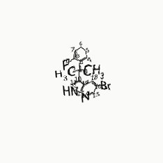 CC(C)(C1=CCCC=C1F)c1c[nH]c2ncc(Br)cc12